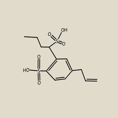 C=CCc1ccc(S(=O)(=O)O)c(C(CCC)S(=O)(=O)O)c1